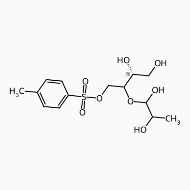 Cc1ccc(S(=O)(=O)OCC(OC(O)C(C)O)[C@H](O)CO)cc1